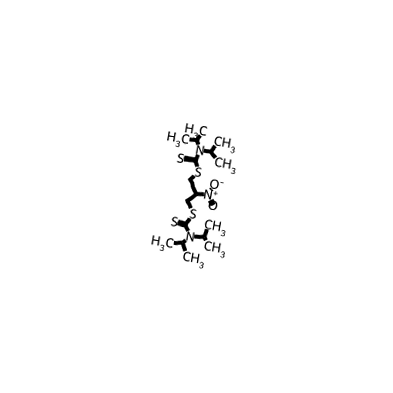 CC(C)N(C(=S)SCC(CSC(=S)N(C(C)C)C(C)C)[N+](=O)[O-])C(C)C